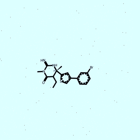 CCC1C(=O)N(C)C(=N)N[C@]1(C)c1cc(-c2cccc(Br)c2)cs1